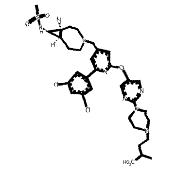 CC(CCN1CCN(c2ncc(Oc3cc(CN4CC[C@@H]5[C@H](CC4)[C@H]5NS(C)(=O)=O)cc(-c4cc(Cl)cc(Cl)c4)n3)cn2)CC1)C(=O)O